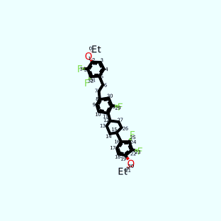 CCOc1ccc(CCc2ccc(C3CCC(c4ccc(OCC)c(F)c4F)CC3)c(F)c2)c(F)c1F